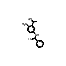 CC(=N)c1cc(NC(=N)c2ccccc2)ccc1N